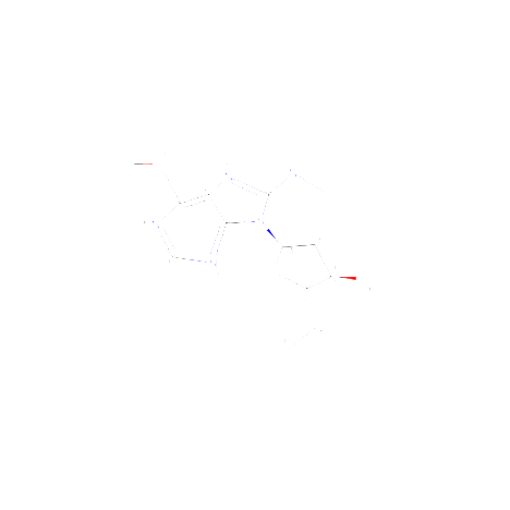 CNc1nc2c(OC)ncnc2n1[C@H]1C[C@@H](O)[C@H](CO)O1